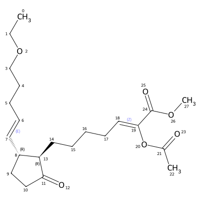 CCOCCC/C=C/[C@H]1CCC(=O)[C@@H]1CCCC/C=C(\OC(C)=O)C(=O)OC